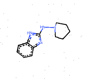 c1ccc2[nH]c(NN3CCCCC3)nc2c1